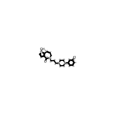 Cn1ccc2c1C=CCN(CCCN1CCN(c3cccc(Cl)c3)CC1)C2=O